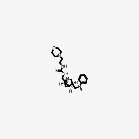 CN(C[C@H]1C[N@]2CC[C@H]1C[C@@H]2CNC(=S)NCCN1CCOCC1)c1ccccc1